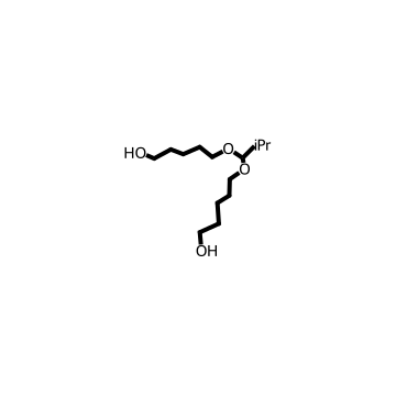 CC(C)C(OCCCCCO)OCCCCCO